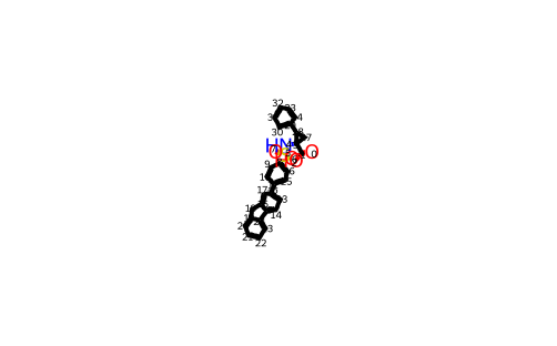 O=C(O)C1(NS(=O)(=O)c2ccc(-c3ccc4c(c3)Cc3ccccc3-4)cc2)CC1c1ccccc1